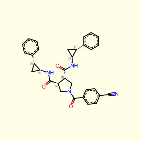 N#Cc1ccc(C(=O)N2C[C@@H](C(=O)N[C@H]3C[C@@H]3c3ccccc3)[C@H](C(=O)N[C@H]3C[C@@H]3c3ccccc3)C2)cc1